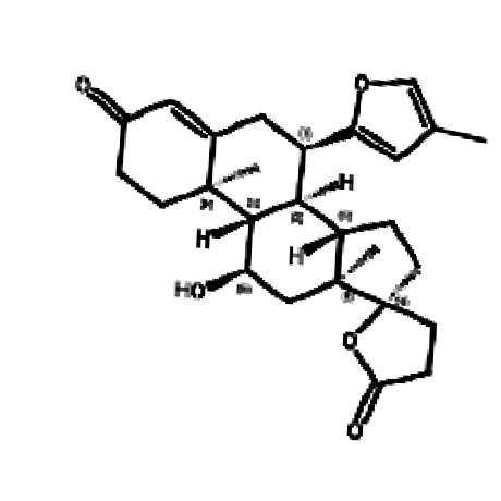 Cc1coc([C@@H]2CC3=CC(=O)CC[C@]3(C)[C@@H]3[C@@H]2[C@@H]2CC[C@@]4(CCC(=O)O4)[C@@]2(C)C[C@H]3O)c1